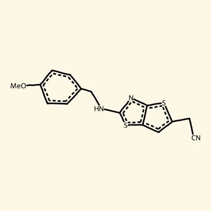 COc1ccc(CNc2nc3sc(CC#N)cc3s2)cc1